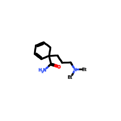 CCN(CC)CCCC1(C(N)=O)C=CC=CC1